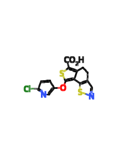 O=C(O)c1sc(Oc2ccc(Cl)nc2)c2c1CCc1cnsc1-2